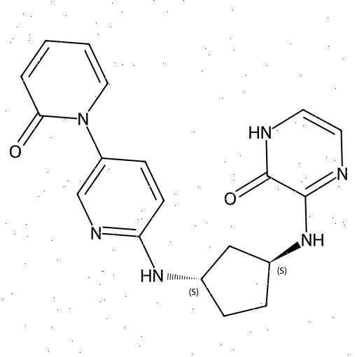 O=c1[nH]ccnc1N[C@H]1CC[C@H](Nc2ccc(-n3ccccc3=O)cn2)C1